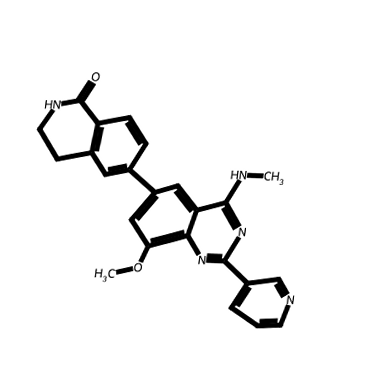 CNc1nc(-c2cccnc2)nc2c(OC)cc(-c3ccc4c(c3)CCNC4=O)cc12